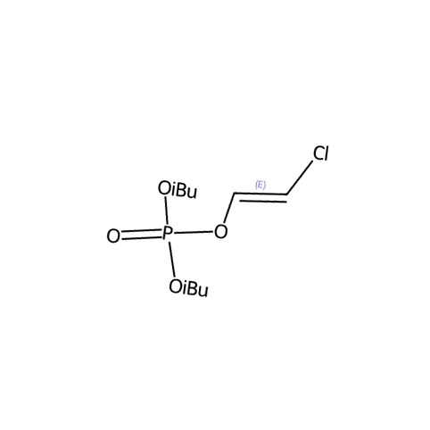 CC(C)COP(=O)(O/C=C/Cl)OCC(C)C